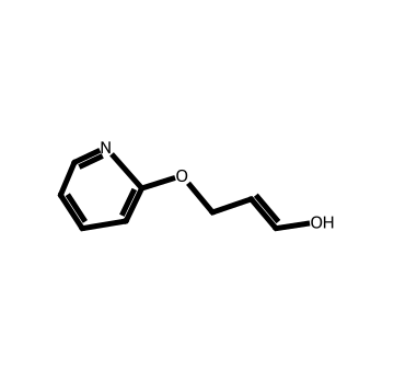 OC=CCOc1ccccn1